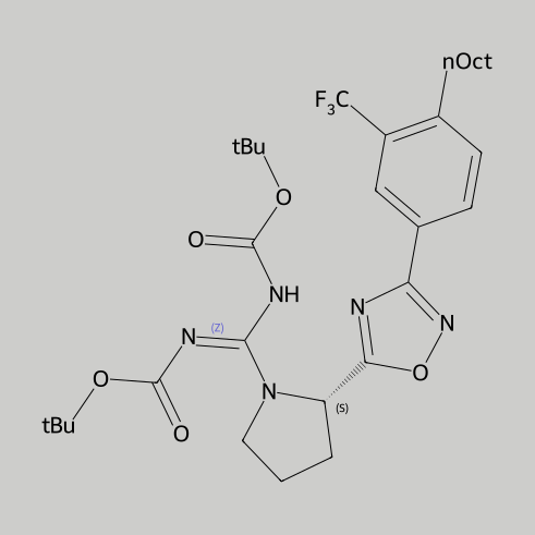 CCCCCCCCc1ccc(-c2noc([C@@H]3CCCN3/C(=N\C(=O)OC(C)(C)C)NC(=O)OC(C)(C)C)n2)cc1C(F)(F)F